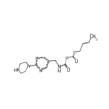 CCCCOC(=O)OC(=O)NCc1cnc(N2CCNCC2)nc1